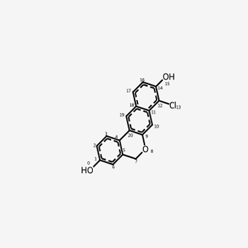 Oc1ccc2c(c1)COc1cc3c(Cl)c(O)ccc3cc1-2